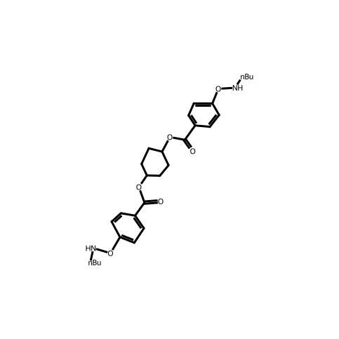 CCCCNOc1ccc(C(=O)OC2CCC(OC(=O)c3ccc(ONCCCC)cc3)CC2)cc1